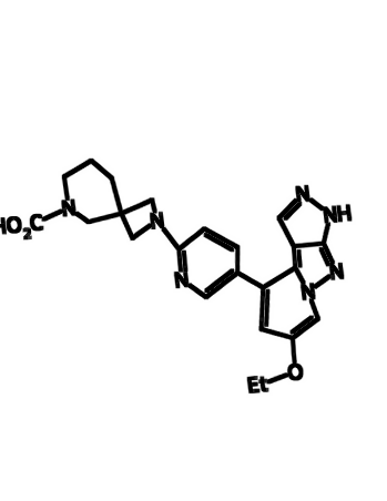 CCOc1cc(-c2ccc(N3CC4(CCCN(C(=O)O)C4)C3)nc2)c2c3cn[nH]c3nn2c1